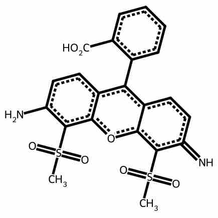 CS(=O)(=O)c1c2oc3c(S(C)(=O)=O)c(N)ccc3c(-c3ccccc3C(=O)O)c-2ccc1=N